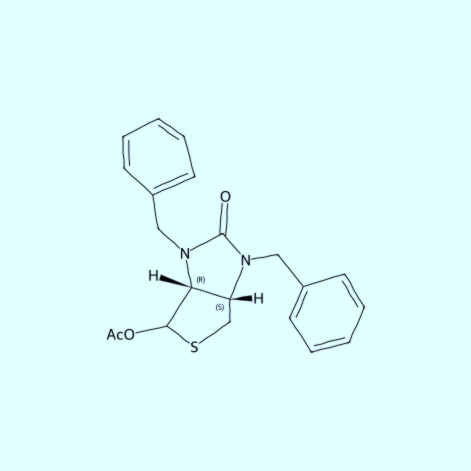 CC(=O)OC1SC[C@@H]2[C@H]1N(Cc1ccccc1)C(=O)N2Cc1ccccc1